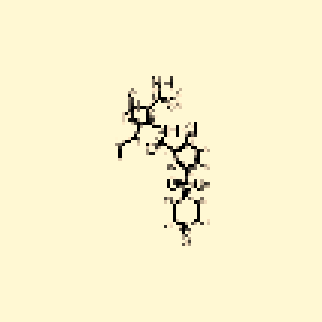 CCCc1nn(C)c(C(N)=O)c1NC(=O)c1cc(S(=O)(=O)N2CCN(C)CC2)ccc1Cl